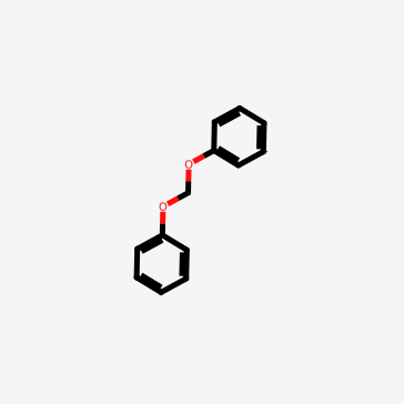 [c]1ccc(OCOc2c[c]ccc2)cc1